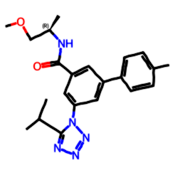 COC[C@@H](C)NC(=O)c1cc(-c2ccc(C)cc2)cc(-n2nnnc2C(C)C)c1